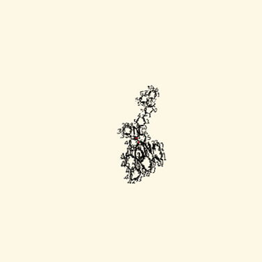 c1cc(-c2ccc(N(c3ccc(-n4c5ccccc5c5ccccc54)cc3)c3ccccc3-c3ccc4oc5c6ccccc6ccc5c4c3)cc2)cc(-c2cccc3ccccc23)c1